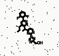 CC[C@H](C)c1cc(-c2c(F)cccc2F)nnc1C(C)c1ccnc(-n2cnc(CO)n2)n1